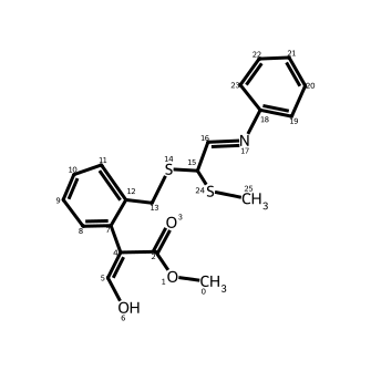 COC(=O)C(=CO)c1ccccc1CSC(C=Nc1ccccc1)SC